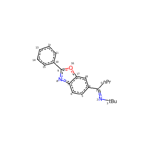 CCC/C(=N\C(C)(C)C)c1ccc2nc(-c3ccccc3)oc2c1